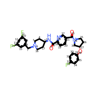 O=C(NC1CCN(Cc2cc(F)cc(F)c2)CC1)c1ccc(C(=O)N2CC[C@H](Oc3ccc(F)cc3)C2)cn1